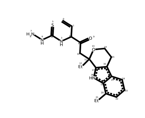 C=CC(NC(=S)NN)C(=O)CC1(CC)OCCc2c1[nH]c1c(CC)cccc21